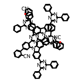 [C-]#[N+]c1ccc(-c2ccc(-c3nc(-c4ccc(-c5ccccc5C#N)cc4-n4c5ccc(-c6nc(-c7ccccc7)nc(-c7ccccc7)n6)cc5c5cc(-c6nc(-c7ccccc7)nc(-c7ccccc7)n6)ccc54)nc(-c4ccc(-c5ccccc5[N+]#[C-])cc4-n4c5ccc(-c6nc(-c7ccccc7)nc(-c7ccccc7)n6)cc5c5cc(-c6nc(-c7ccccc7)nc(-c7ccccc7)n6)ccc54)n3)cc2)cc1